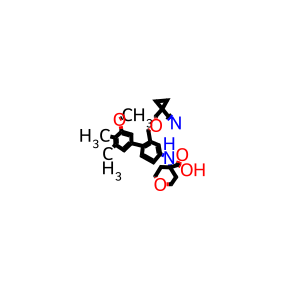 COc1cc(-c2ccc(NC3(C(=O)O)CCOCC3)cc2COCC2(C#N)CC2)cc(C)c1C